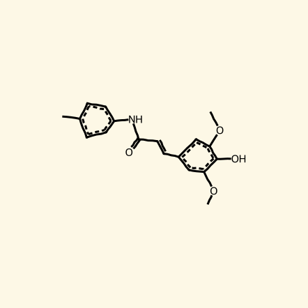 COc1cc(/C=C/C(=O)Nc2ccc(C)cc2)cc(OC)c1O